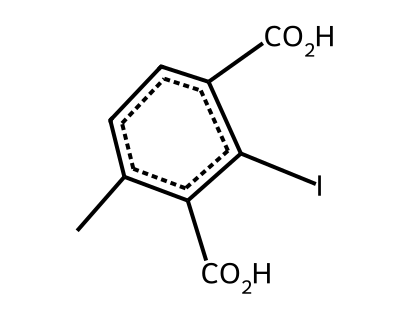 Cc1ccc(C(=O)O)c(I)c1C(=O)O